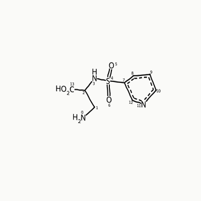 NCC(NS(=O)(=O)c1cccnc1)C(=O)O